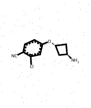 N#Cc1ccc(O[C@H]2C[C@H](N)C2)cc1Cl